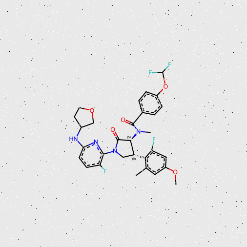 COc1cc(C)c([C@@H]2CN(c3nc(NC4CCOC4)ccc3F)C(=O)[C@H]2N(C)C(=O)c2ccc(OC(F)F)cc2)c(F)c1